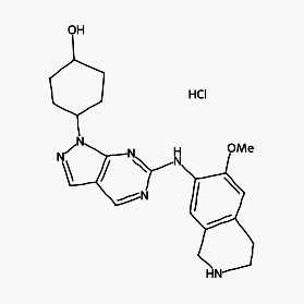 COc1cc2c(cc1Nc1ncc3cnn(C4CCC(O)CC4)c3n1)CNCC2.Cl